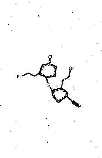 N#Cc1ccc(Sc2ccc(Cl)cc2CCBr)c(CCBr)c1